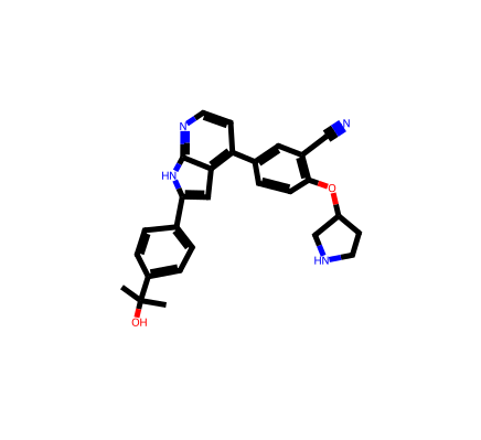 CC(C)(O)c1ccc(-c2cc3c(-c4ccc(OC5CCNC5)c(C#N)c4)ccnc3[nH]2)cc1